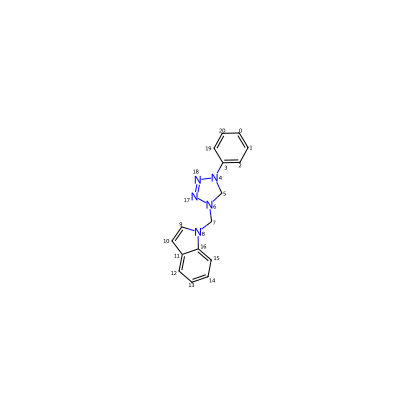 c1ccc(N2CN(Cn3ccc4ccccc43)N=N2)cc1